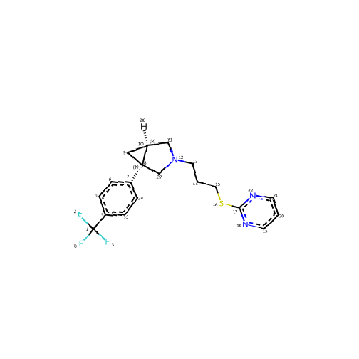 FC(F)(F)c1ccc([C@]23C[C@H]2CN(CCCSc2ncccn2)C3)cc1